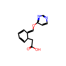 O=C(O)CC1C=CC=CC1=COc1ccncn1